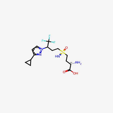 N=S(=O)(CCC(n1ccc(C2CC2)n1)C(F)(F)F)CC[C@H](N)C(=O)O